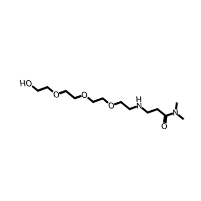 CN(C)C(=O)CCNCCOCCOCCOCCO